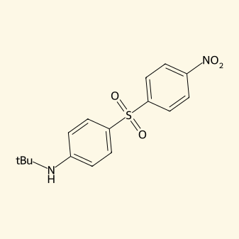 CC(C)(C)Nc1ccc(S(=O)(=O)c2ccc([N+](=O)[O-])cc2)cc1